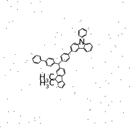 CC1(C)C2=C(C=CC2)c2ccc(C(c3ccc(-c4ccccc4)cc3)c3ccc(-c4ccc5c(c4)c4ccccc4n5-c4ccccc4)cc3)cc21